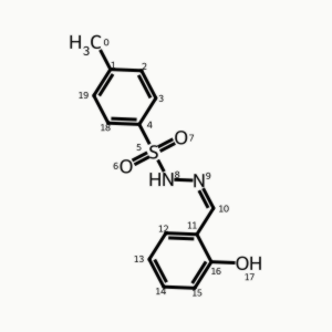 Cc1ccc(S(=O)(=O)N/N=C\c2ccccc2O)cc1